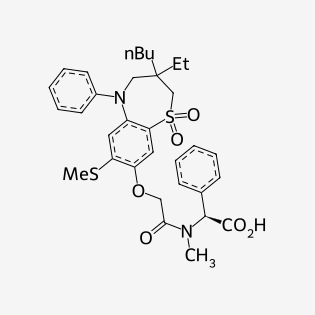 CCCCC1(CC)CN(c2ccccc2)c2cc(SC)c(OCC(=O)N(C)[C@H](C(=O)O)c3ccccc3)cc2S(=O)(=O)C1